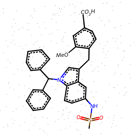 COc1cc(C(=O)O)ccc1Cc1cn(C(c2ccccc2)c2ccccc2)c2ccc(NS(C)(=O)=O)cc12